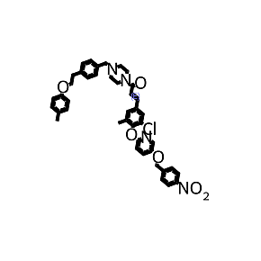 Cc1ccc(OCCc2ccc(CN3CCN(C(=O)/C=C/c4cc(C)c(Oc5ccc(OCc6ccc([N+](=O)[O-])cc6)cn5)c(Cl)c4)CC3)cc2)cc1